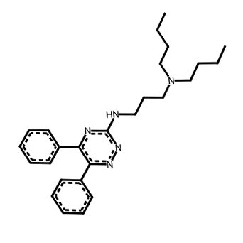 CCCCN(CCCC)CCCNc1nnc(-c2ccccc2)c(-c2ccccc2)n1